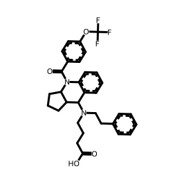 O=C(O)CCCN(CCc1ccccc1)C1c2ccccc2N(C(=O)c2ccc(OC(F)(F)F)cc2)C2CCCC12